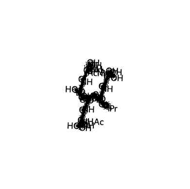 CC(=O)NC1C(OCCCCCC(=O)NCCCCCC(=O)N(CCO)CCOP(=O)(O)OCN(CCOP(=O)(O)OCN(CCOC2CCCC(C(C)C)CC2)C(=O)CCCCCNC(=O)CCCCCOC2CC(CO)C(O)C(O)C2NC(C)=O)C(=O)CCCCCNC(=O)CCCCCOC2CC(CO)C(O)C(O)C2NC(C)=O)CC(CO)C(O)C1O